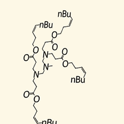 CCCC/C=C\CCOC(=O)CCN(CCC(=O)OCC/C=C\CCCC)CN(C)CN(CCC(=O)OCC/C=C\CCCC)CCC(=O)OCC/C=C\CCCC